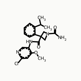 COc1cc(Cl)ncc1NC(=O)C1(c2ccccc2C(C)C)CN(C(N)=O)C1